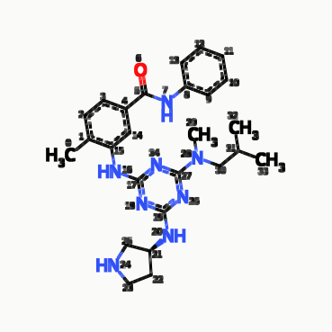 Cc1ccc(C(=O)Nc2ccccc2)cc1Nc1nc(N[C@H]2CCNC2)nc(N(C)CC(C)C)n1